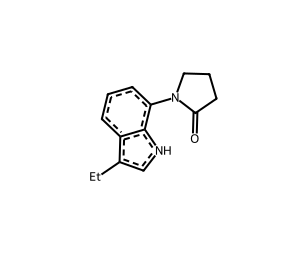 CCc1c[nH]c2c(N3CCCC3=O)cccc12